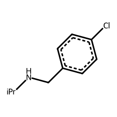 CC(C)NCc1ccc(Cl)cc1